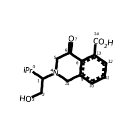 CC(C)C(CO)N1CC(=O)c2c(cccc2C(=O)O)C1